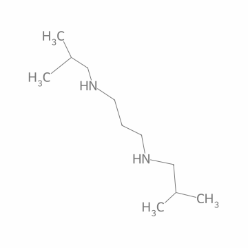 CC(C)CNCCCNCC(C)C